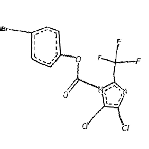 O=C(Oc1ccc(Br)cc1)n1c(C(F)(F)F)nc(Cl)c1Cl